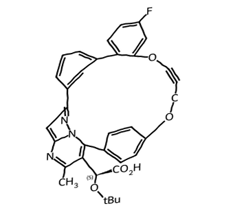 Cc1nc2cc3nn2c(c1[C@H](OC(C)(C)C)C(=O)O)-c1ccc(cc1)OCC#COc1cc(F)ccc1-c1cccc-3c1